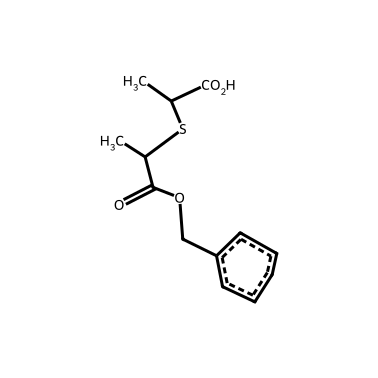 CC(SC(C)C(=O)OCc1ccccc1)C(=O)O